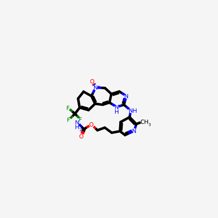 Cc1ncc(CCCOC(N)=O)cc1NC1=NC=C2C[N+](=O)C3=C(C=C2N1)C=C(C(F)(F)F)CC3